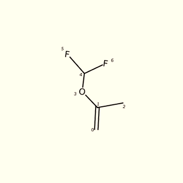 C=C(C)OC(F)F